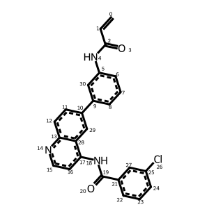 C=CC(=O)Nc1cccc(-c2ccc3nccc(NC(=O)c4cccc(Cl)c4)c3c2)c1